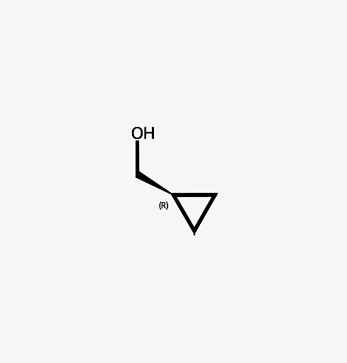 OC[C@@H]1[CH]C1